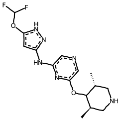 C[C@@H]1CNC[C@@H](C)C1Oc1cncc(Nc2cc(OC(F)F)[nH]n2)n1